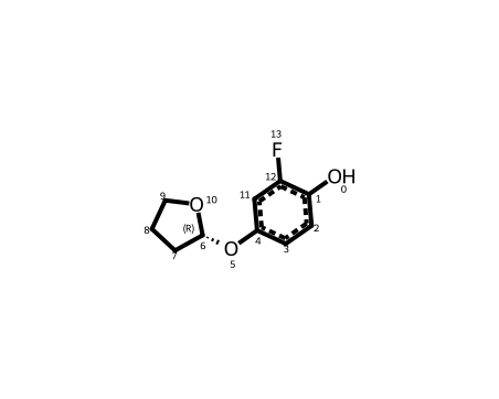 Oc1ccc(O[C@@H]2CCCO2)cc1F